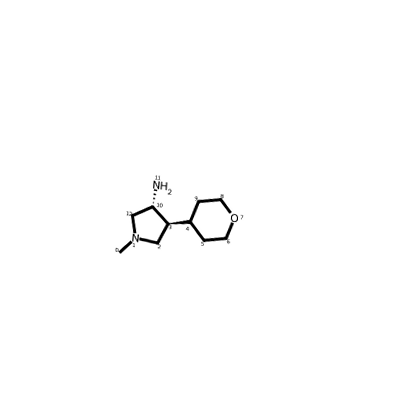 CN1C[C@H](C2CCOCC2)[C@@H](N)C1